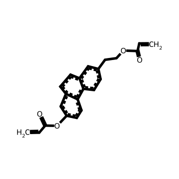 C=CC(=O)OCCc1ccc2c(ccc3cc(OC(=O)C=C)ccc32)c1